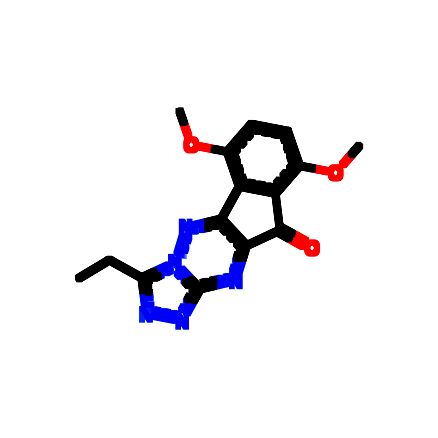 CCc1nnc2nc3c(nn12)-c1c(OC)ccc(OC)c1C3=O